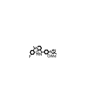 COc1cc(C(=N)c2cccn(C(C)c3ccc(F)cc3)c2=O)ccc1-n1cnc(C)c1